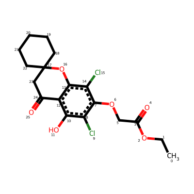 CCOC(=O)COc1c(Cl)c(O)c2c(c1Cl)OC1(CCCCC1)CC2=O